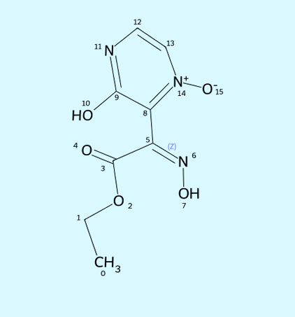 CCOC(=O)/C(=N\O)c1c(O)ncc[n+]1[O-]